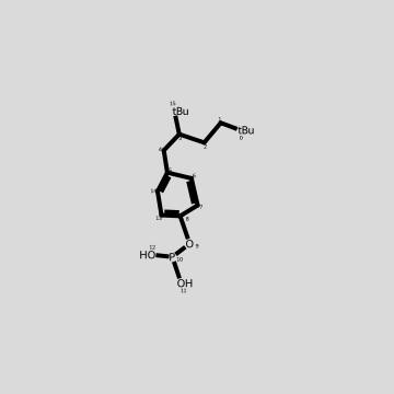 CC(C)(C)CCC(Cc1ccc(OP(O)O)cc1)C(C)(C)C